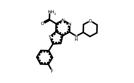 NC(=O)c1nnc(NC2CCCOC2)c2cc(-c3cccc(F)c3)sc12